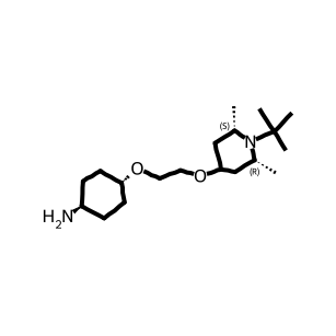 C[C@@H]1CC(OCCO[C@H]2CC[C@H](N)CC2)C[C@H](C)N1C(C)(C)C